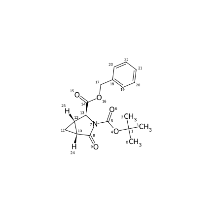 CC(C)(C)OC(=O)N1C(=O)[C@@H]2C[C@@H]2[C@H]1C(=O)OCc1ccccc1